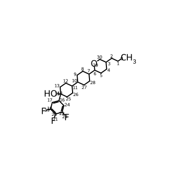 CCCC1CCC(C2CCC(C3CCC(O)(c4cc(F)c(F)c(F)c4)CC3)CC2)OC1